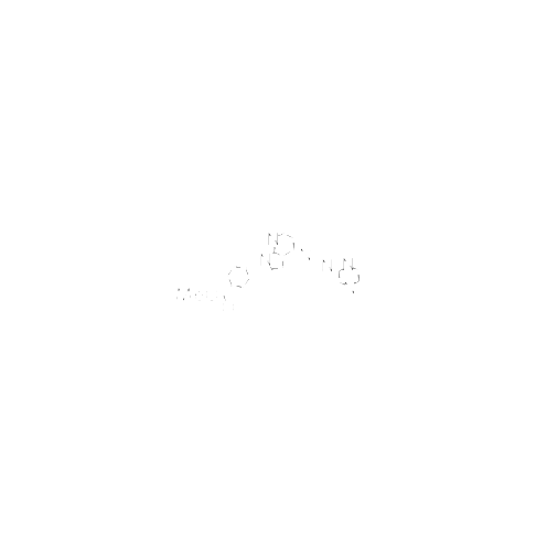 COC(=O)c1ccc(Cn2ccc3c(N4CCN(c5cnc(C)cn5)CC4)ccnc32)cc1